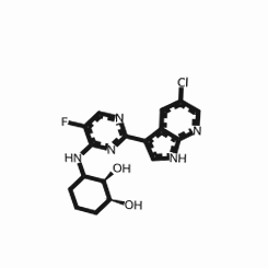 O[C@@H]1C(Nc2nc(-c3c[nH]c4ncc(Cl)cc34)ncc2F)CCC[C@@H]1O